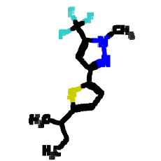 CCC(C)c1ccc(-c2cc(C(F)(F)F)n(C)n2)s1